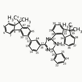 CC1(C)c2ccccc2-c2cc(-c3cccc(C4=NC(c5ccccc5)NC(c5cccc6c5-c5ccccc5C6(C)C)=N4)c3)ccc21